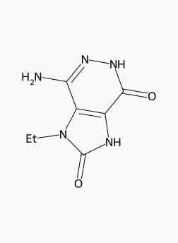 CCn1c(=O)[nH]c2c(=O)[nH]nc(N)c21